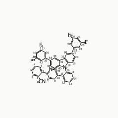 N#Cc1ccccc1-c1ccc(-c2ccccc2-n2c3ccc(-c4cc(F)cc(F)c4)cc3c3cc(-c4cc(F)cc(F)c4)ccc32)cn1